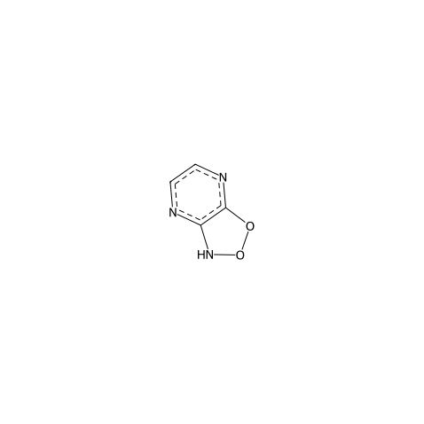 c1cnc2c(n1)NOO2